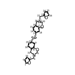 c1coc(CN2COc3cc(SSc4ccc5c(c4)OCN(Cc4ccco4)C5)ccc3C2)c1